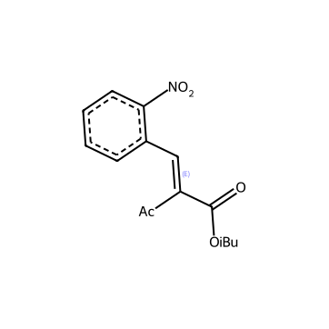 CC(=O)/C(=C\c1ccccc1[N+](=O)[O-])C(=O)OCC(C)C